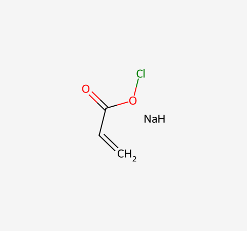 C=CC(=O)OCl.[NaH]